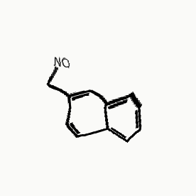 O=NCc1ccc2ccccc2c1